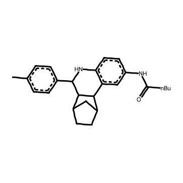 CCCCC(=O)Nc1ccc2c(c1)C1C3CCC(C3)C1C(c1ccc(C)cc1)N2